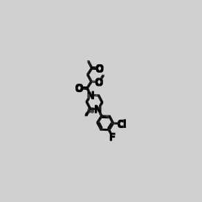 COC(CC(C)=O)C(=O)N1CCN(c2ccc(F)c(Cl)c2)[C@@H](C)C1